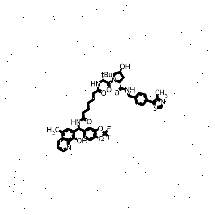 Cc1ncsc1-c1ccc(CNC(=O)[C@H]2C[C@H](O)CN2C(=O)[C@H](NC(=O)CCCCCC(=O)NC(c2ccc3c(c2)OC(F)(F)O3)c2cc(C)c3cccnc3c2O)C(C)(C)C)cc1